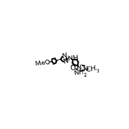 COc1ccc(-c2cnc(Nc3ccc([N+]4(C(N)=O)CCN(C)CC4)cc3)nc2)cc1